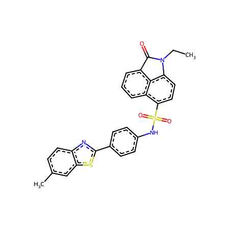 CCN1C(=O)c2cccc3c(S(=O)(=O)Nc4ccc(-c5nc6ccc(C)cc6s5)cc4)ccc1c23